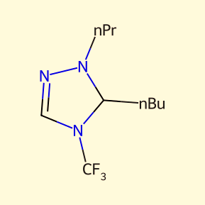 CCCCC1N(CCC)N=CN1C(F)(F)F